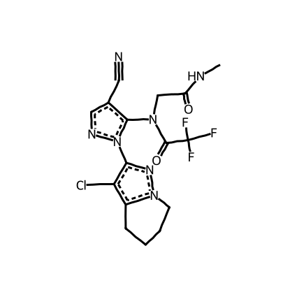 CNC(=O)CN(C(=O)C(F)(F)F)c1c(C#N)cnn1-c1nn2c(c1Cl)CCCC2